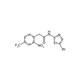 CC(C)c1cnc(NC(=O)Cc2ccc(C(F)(F)F)cc2[N+](=O)[O-])s1